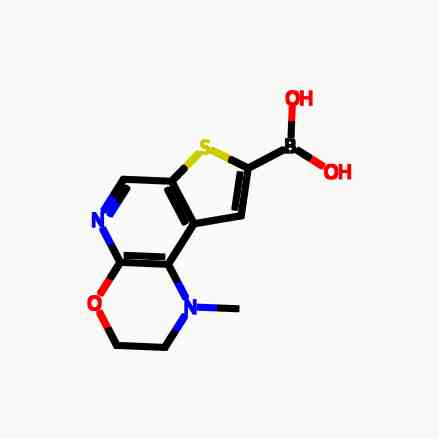 CN1CCOc2ncc3sc(B(O)O)cc3c21